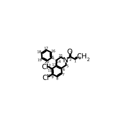 C=CC(=O)N1Cc2ccc(Cl)c(Cl)c2[C@H](c2ccccc2)C1